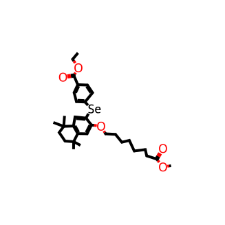 CCOC(=O)c1ccc([Se]c2cc3c(cc2OCCCCCCCC(=O)OC)C(C)(C)CCC3(C)C)cc1